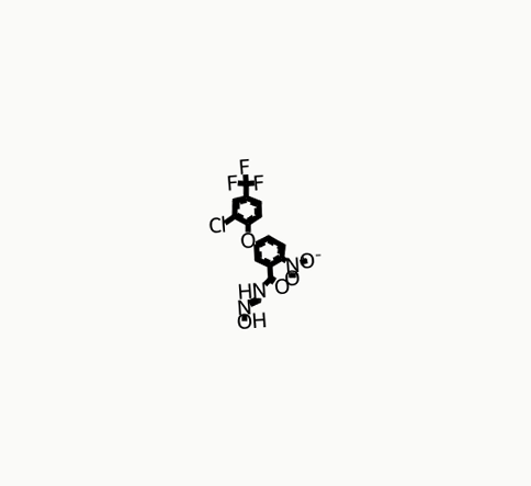 O=C(NC=NO)c1cc(Oc2ccc(C(F)(F)F)cc2Cl)ccc1[N+](=O)[O-]